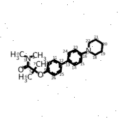 CN(C)C(=O)C(C)(C)Oc1ccc(-c2ccc(N3CCCCC3)cc2)cc1